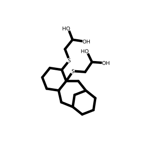 OC(O)CSC1CCC[C]2CC3CCCC(C3)CC21SCC(O)O